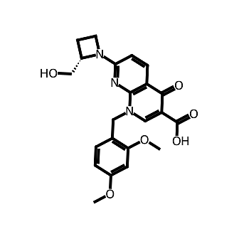 COc1ccc(Cn2cc(C(=O)O)c(=O)c3ccc(N4CC[C@H]4CO)nc32)c(OC)c1